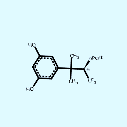 CCCCC[C@@H](C(F)(F)F)C(C)(C)c1cc(O)cc(O)c1